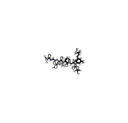 COC(=O)N[C@@H](CC/C=C/C(=O)N(C)C)C(=O)Nc1cncn(Cc2nc3c(CCC(F)(F)F)cc(F)cc3n2C(=O)OC(C)(C)C)c1=O